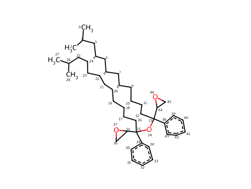 CC(C)CCCCCCCCCCC(OC(CCCCCCCCCCC(C)C)(c1ccccc1)C1CO1)(c1ccccc1)C1CO1